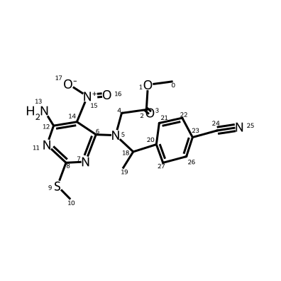 COC(=O)CN(c1nc(SC)nc(N)c1[N+](=O)[O-])C(C)c1ccc(C#N)cc1